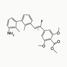 COC(=O)c1c(OC)cc(/C(F)=C/c2cccc(-c3cccc(N)c3C)c2C)cc1OC